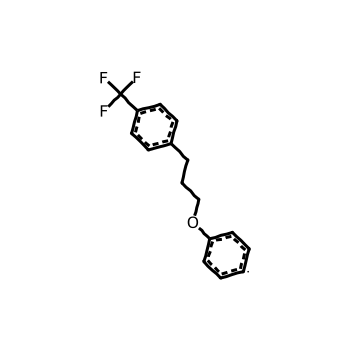 FC(F)(F)c1ccc(CCCOc2cc[c]cc2)cc1